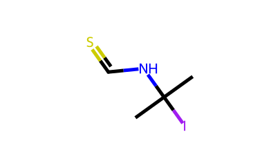 CC(C)(I)NC=S